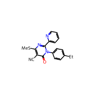 CCc1ccc(-n2c(-c3ccccn3)nc(SC)c(C#N)c2=O)cc1